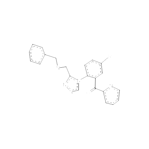 O=C(c1ccccn1)c1cc(Br)ccc1-n1cnnc1CNCc1ccccc1